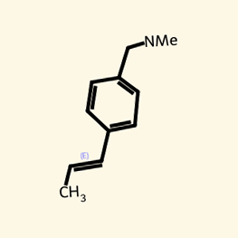 C/C=C/c1ccc(CNC)cc1